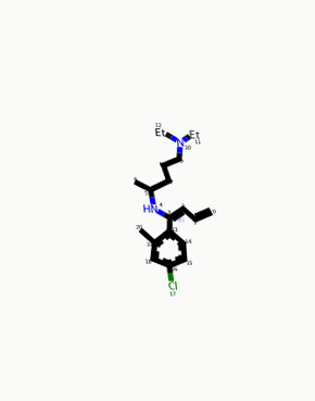 C=C/C=C(/NC(C)CCCN(CC)CC)c1ccc(Cl)cc1C